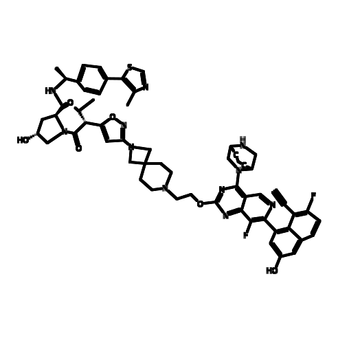 C#Cc1c(F)ccc2cc(O)cc(-c3ncc4c(N5CC6CCCC5CN6)nc(OCCN5CCC6(CC5)CN(c5cc([C@H](C(=O)N7C[C@H](O)C[C@H]7C(=O)N[C@@H](C)c7ccc(-c8scnc8C)cc7)C(C)C)on5)C6)nc4c3F)c12